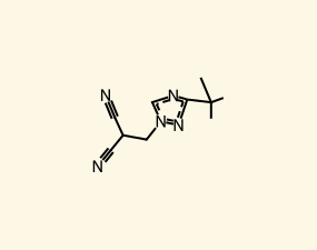 CC(C)(C)c1ncn(CC(C#N)C#N)n1